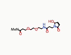 CNC(=O)CCOCCOCCNC(=O)CCN1C(=O)C=CC1O